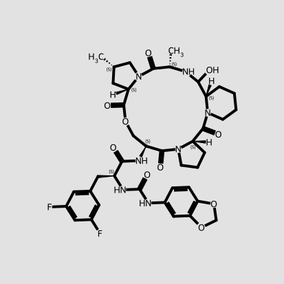 C[C@H]1C[C@H]2C(=O)OC[C@H](NC(=O)[C@H](Cc3cc(F)cc(F)c3)NC(=O)Nc3ccc4c(c3)OCO4)C(=O)N3CCC[C@H]3C(=O)N3CCCC[C@H]3C(O)N[C@@H](C)C(=O)N2C1